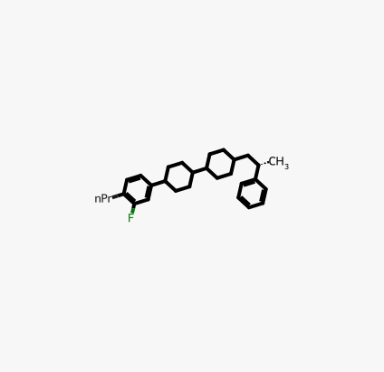 CCCc1ccc(C2CCC(C3CCC(C[C@H](C)c4ccccc4)CC3)CC2)cc1F